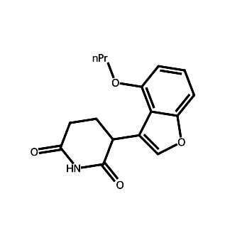 CCCOc1cccc2occ(C3CCC(=O)NC3=O)c12